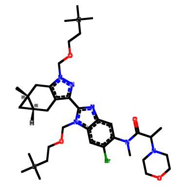 CC(C(=O)N(C)c1cc2nc(-c3nn(COCC[Si](C)(C)C)c4c3C[C@@H]3C[C@]3(C)C4)n(COCC[Si](C)(C)C)c2cc1Br)N1CCOCC1